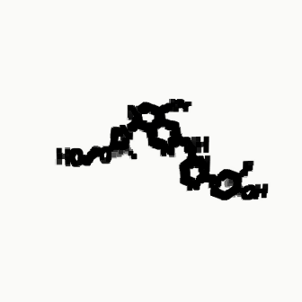 CC(C)c1cnc(N2C[C@H](OCCO)[C@H]2C)c2cnc(Nc3ccnc(N4CC[C@@H](O)[C@@H](F)C4)n3)cc12